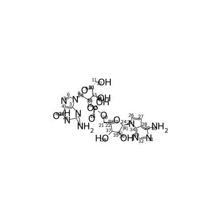 Nc1nc2c(ncn2[C@@H]2O[C@H](CO)C(O)[C@@H]2OP(=O)(O)OC[C@H]2O[C@@H](n3ccc4c(N)ncnc43)[C@@H](O)C2O)c(=O)[nH]1